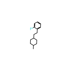 CC1CCC(CCc2ccccc2F)CC1